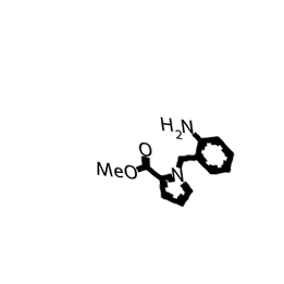 COC(=O)c1cccn1Cc1ccccc1N